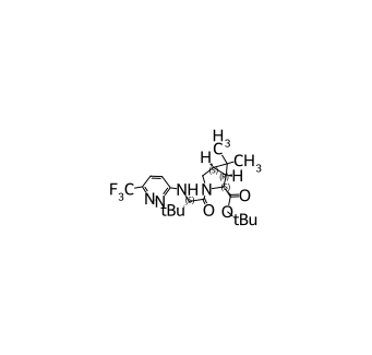 CC(C)(C)OC(=O)[C@@H]1[C@@H]2[C@H](CN1C(=O)[C@@H](Nc1ccc(C(F)(F)F)nn1)C(C)(C)C)C2(C)C